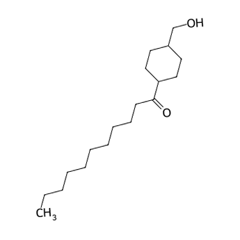 CCCCCCCCCCC(=O)C1CCC(CO)CC1